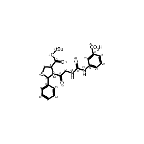 CC(C)(C)OC(=O)C1CSC(c2ccccc2)N1C(=O)CNC(=O)Nc1cccc(C(=O)O)c1